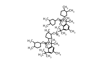 Cc1cc(C(C)(C)C)c(OB(OC2CCC(C)C(C)C2)OC2CCC(C)C(C)C2)c(C(C)(C)C)c1.Cc1cc(C(C)(C)C)c(OB(OC2CCC(C)C(C)C2)OC2CCC(C)C(C)C2)c(C(C)(C)C)c1